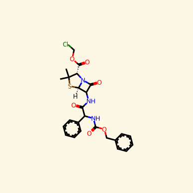 CC1(C)S[C@@H]2C(NC(=O)C(NC(=O)OCc3ccccc3)c3ccccc3)C(=O)N2[C@H]1C(=O)OCCl